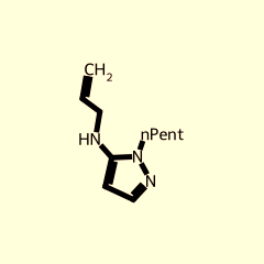 C=CCNc1ccnn1CCCCC